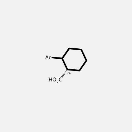 CC(=O)C1CCCC[C@@H]1C(=O)O